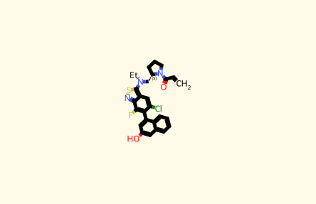 C=CC(=O)N1CCC[C@H]1CN(CC)c1snc2c(F)c(-c3cc(O)cc4ccccc34)c(Cl)cc12